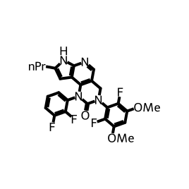 CCCc1cc2c3c(cnc2[nH]1)CN(c1c(F)c(OC)cc(OC)c1F)C(=O)N3c1cccc(F)c1F